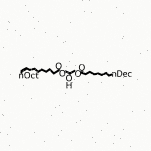 CCCCCCCC/C=C\CCCCCCCC(=O)OCC(O)COC(=O)CCCCCCCCCCCCCCCCC